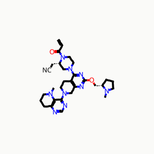 C=CC(=O)N1CCN(c2nc(OC[C@@H]3CCCN3C)nc3c2CCN(c2ncnc4c2N(C)CCC4)C3)C[C@@H]1CC#N